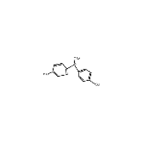 CC(=O)O[I+](c1ccc(C(C)(C)C)cc1)c1ccc(C(C)(C)C)cc1